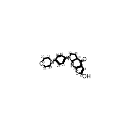 O=C1c2cc(O)sc2N=C2C1CCN2c1ccc(N2CCOCC2)cc1